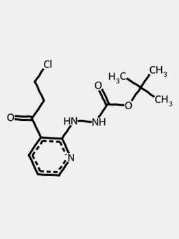 CC(C)(C)OC(=O)NNc1ncccc1C(=O)CCCl